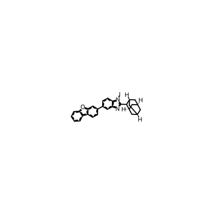 In1c(C2[C@H]3C[C@@H]4C[C@@H](C[C@H]2C4)C3)nc2cc(-c3ccc4c(c3)oc3ccccc34)ccc21